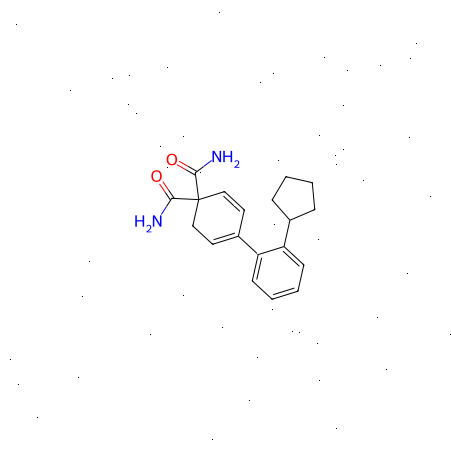 NC(=O)C1(C(N)=O)C=CC(c2ccccc2C2CCCC2)=CC1